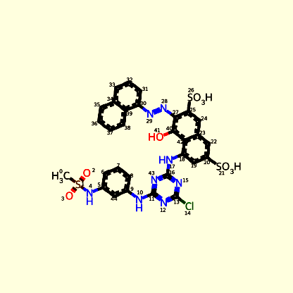 CS(=O)(=O)Nc1cccc(Nc2nc(Cl)nc(Nc3cc(S(=O)(=O)O)cc4cc(S(=O)(=O)O)c(/N=N/c5cccc6ccccc56)c(O)c34)n2)c1